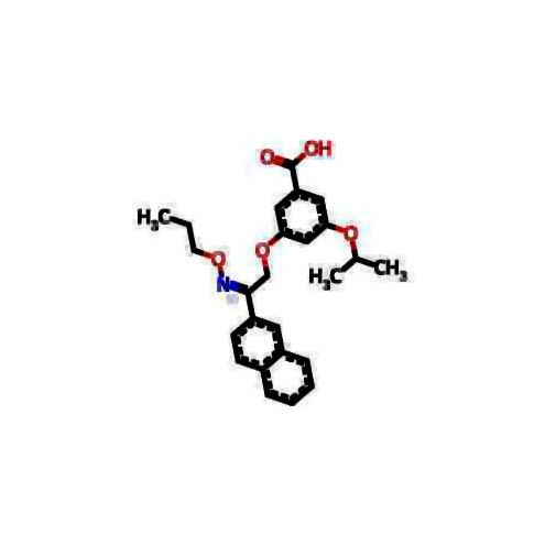 CCCO/N=C(\COc1cc(OC(C)C)cc(C(=O)O)c1)c1ccc2ccccc2c1